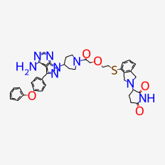 Nc1ncnc2c1c(-c1ccc(Oc3ccccc3)cc1)nn2C1CCN(C(=O)COCCSc2cccc3c2CN(C2CCC(=O)NC2=O)C3)CC1